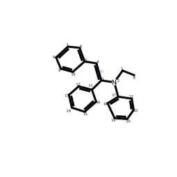 CCN(/C(=C/c1ccccc1)c1ccccc1)c1ccccc1